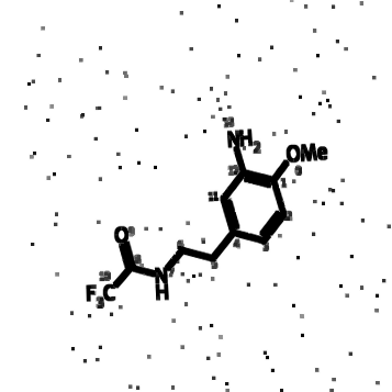 COc1ccc(CCNC(=O)C(F)(F)F)cc1N